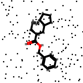 O=C(O)C[C@@H](CC1CCCC1)C(=O)OCc1ccccc1